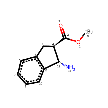 CC(C)(C)OC(=O)[C@@H]1Cc2ccccc2[C@H]1N